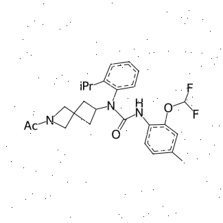 CC(=O)N1CC2(CC(N(C(=O)Nc3ccc(C)cc3OC(F)F)c3ccccc3C(C)C)C2)C1